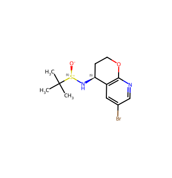 CC(C)(C)[S@@+]([O-])N[C@H]1CCOc2ncc(Br)cc21